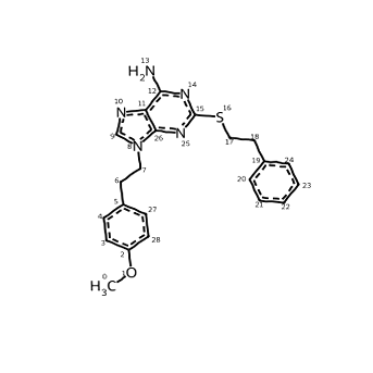 COc1ccc(CCn2cnc3c(N)nc(SCCc4ccccc4)nc32)cc1